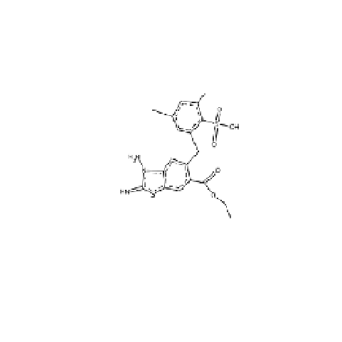 CCOC(=O)c1cc2sc(=N)n(N)c2cc1Cc1cc(C)cc(C)c1S(=O)(=O)O